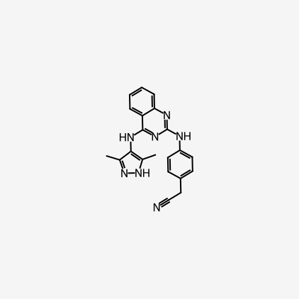 Cc1n[nH]c(C)c1Nc1nc(Nc2ccc(CC#N)cc2)nc2ccccc12